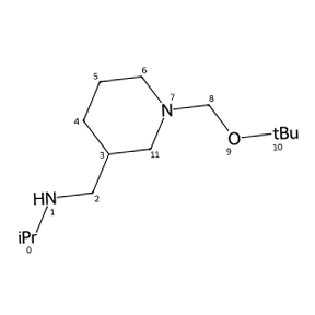 CC(C)NCC1CCCN(COC(C)(C)C)C1